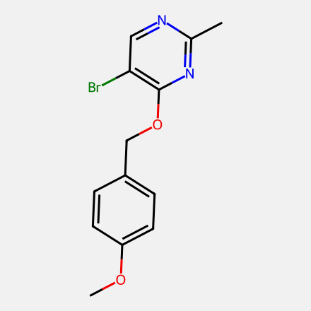 COc1ccc(COc2nc(C)ncc2Br)cc1